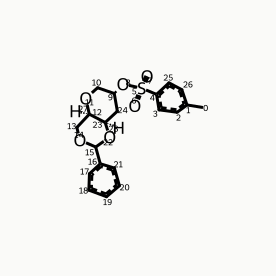 Cc1ccc(S(=O)(=O)O[C@H]2CO[C@@H]3COC(c4ccccc4)O[C@@H]3C2)cc1